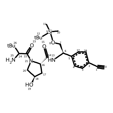 C#Cc1ccc([C@H](CO[Si](C)(C)C(C)(C)C)NC(=O)[C@@H]2C[C@@H](O)CN2C(=O)C(N)C(C)(C)C)cc1